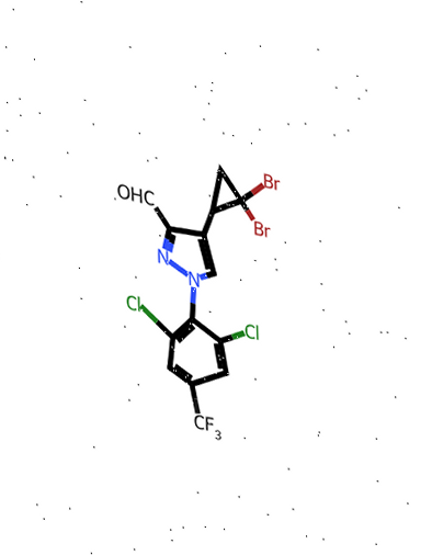 O=Cc1nn(-c2c(Cl)cc(C(F)(F)F)cc2Cl)cc1C1CC1(Br)Br